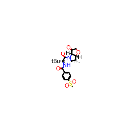 C[C@@H]1CN(C(=O)[C@@H](NC(=O)c2ccc(S(C)(=O)=O)cc2)C(C)(C)C)[C@@H]2C(=O)CO[C@H]12